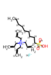 C=CC[N+](CC=C)(CC=C)CC=C.CCCCCCCCCS(=O)(=O)O.[F-]